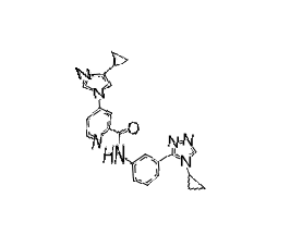 O=C(Nc1cccc(-c2nncn2C2CC2)c1)c1cc(-n2cnc(C3CC3)c2)ccn1